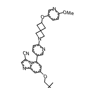 COc1ccc(OC2CC3(C2)CN(c2ccc(-c4cc(OCC(C)(C)O)cc5ncc(C#N)n45)cn2)C3)cn1